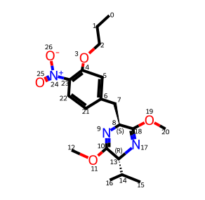 CCCOc1cc(C[C@@H]2N=C(OC)[C@@H](C(C)C)N=C2OC)ccc1[N+](=O)[O-]